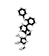 OC[C@H]1O[C@@H](n2cnc3c(-c4ccccc4Oc4ccccc4)ncnc32)[C@H](O)[C@@H]1O